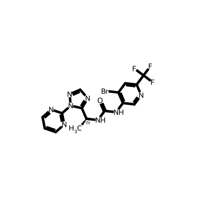 C[C@H](NC(=O)Nc1cnc(C(F)(F)F)cc1Br)c1ncnn1-c1ncccn1